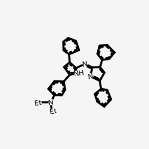 CCN(CC)c1ccc(-c2cc(-c3ccccc3)c(N=C3N=C(c4ccccc4)C=C3c3ccccc3)[nH]2)cc1